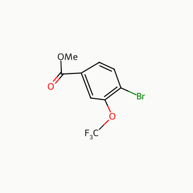 COC(=O)c1ccc(Br)c(OC(F)(F)F)c1